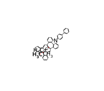 CC1(C)c2ccccc2-c2cc(-c3cccc4c3c3c(-c5ccc6c(c5)-c5ccccc5C6(C)C)cccc3n4-c3ccc(-c4ccccc4)cc3)ccc21